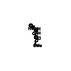 COCCCOc1ccc(C(=O)Nc2cc(-c3nc4ccccc4[nH]3)[nH]n2)cc1Cl